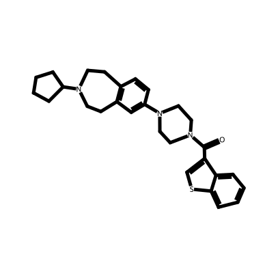 O=C(c1csc2ccccc12)N1CCN(c2ccc3c(c2)CCN(C2CCCC2)CC3)CC1